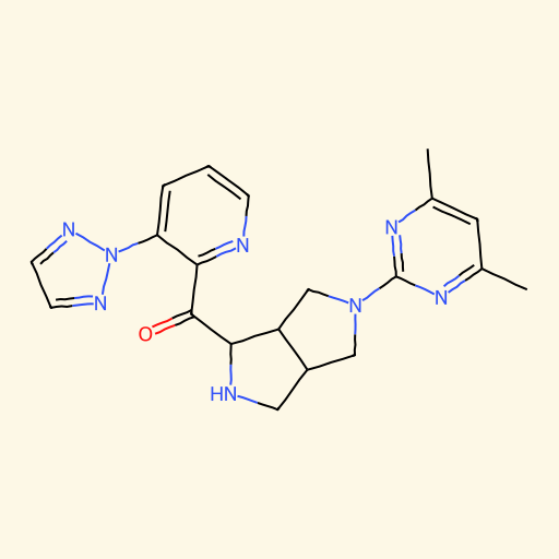 Cc1cc(C)nc(N2CC3CNC(C(=O)c4ncccc4-n4nccn4)C3C2)n1